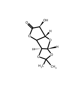 CC1(C)O[C@H]2O[C@@H]3C(OC(=O)[C@H]3O)[C@@H]2O1